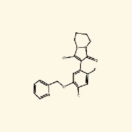 O=c1c(-c2cc(OCc3ccccn3)c(Cl)cc2F)c(Cl)n2n1CCCC2